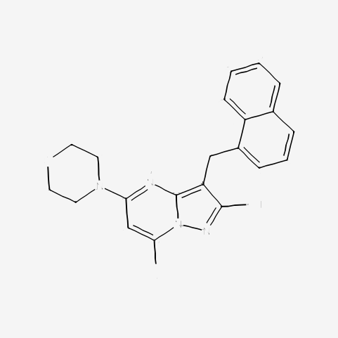 Cc1nn2c(Cl)cc(N3CCOCC3)nc2c1Cc1cccc2ccccc12